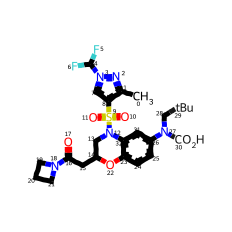 Cc1nn(C(F)F)cc1S(=O)(=O)N1CC(CC(=O)N2CCC2)Oc2ccc(N(CC(C)(C)C)C(=O)O)cc21